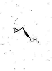 CC#CCC1[CH]C1